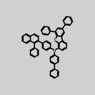 c1ccc(-c2ccc(N(c3ccc(-c4ccc5ccccc5c4-c4ccccc4)cc3)c3cccc4c3sc3c(-c5ccccc5)cc(-c5ccccc5)cc34)cc2)cc1